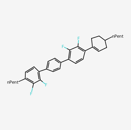 CCCCCc1ccc(-c2ccc(-c3ccc(C4=CCC(CCCCC)CC4)c(F)c3F)cc2)c(F)c1F